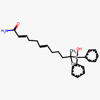 CC(C)(CCC/C=C/CC/C=C/C(N)=O)[Si](O)(c1ccccc1)c1ccccc1